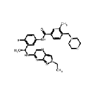 CCn1cc2ncc(N[C@@H](C)c3cc(NC(=O)c4ccc(CN5CCOCC5)c(C)c4)ccc3F)nc2n1